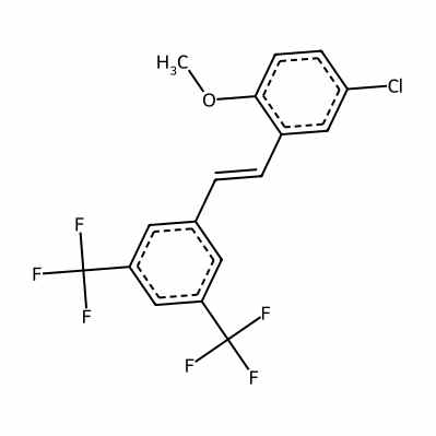 COc1ccc(Cl)cc1/C=C/c1cc(C(F)(F)F)cc(C(F)(F)F)c1